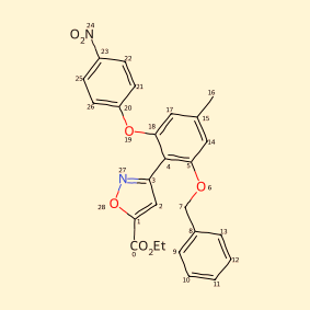 CCOC(=O)c1cc(-c2c(OCc3ccccc3)cc(C)cc2Oc2ccc([N+](=O)[O-])cc2)no1